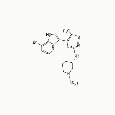 O=C(O)N1CCC[C@H](Nc2ncc(C(F)(F)F)c(-c3c[nH]c4c(Br)cccc34)n2)C1